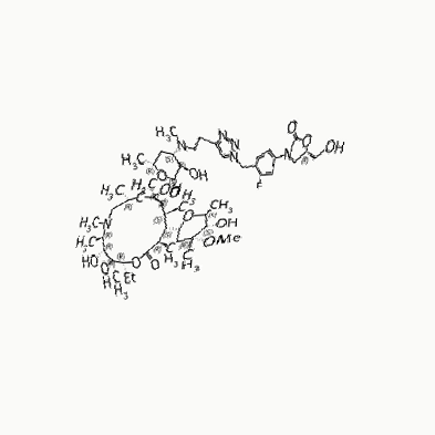 CC[C@H]1OC(=O)[C@H](C)[C@@H](C2C[C@@](C)(OC)[C@@H](O)[C@H](C)O2)[C@H](C)[C@@H](O[C@@H]2O[C@H](C)C[C@H](N(C)CCc3cn(Cc4ccc(N5C[C@H](CO)OC5=O)cc4F)nn3)[C@H]2O)[C@](C)(O)C[C@@H](C)CN(C)[C@H](C)[C@@H](O)[C@]1(C)O